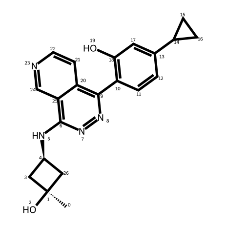 C[C@]1(O)C[C@@H](Nc2nnc(-c3ccc(C4CC4)cc3O)c3ccncc23)C1